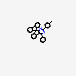 Cc1ccc(-c2nc(-c3ccccc3)c3c(n2)C2(c4ccccc4-c4ccccc42)c2ccccc2-3)cc1